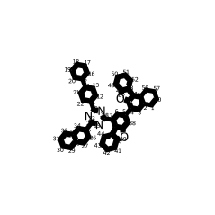 C1=Cc2cc(-c3cc(-c4nc(-c5ccc(-c6ccccc6)cc5)nc(-c5ccc6ccccc6c5)n4)c4c(c3)oc3ccccc34)c3oc4ccccc4c3c2CC1